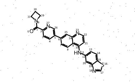 O=C(c1ccc(-c2ccc3c(Nc4ccc5scnc5c4)ccnc3c2)cn1)N1CCC1